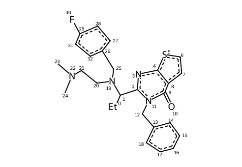 CCC(c1nc2sccc2c(=O)n1Cc1ccccc1)N(CCN(C)C)Cc1ccc(F)cc1